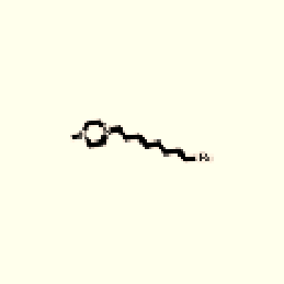 CN1CCN(CCCCCCCCC(C)(C)C)CC1